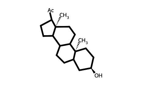 CC(=O)C1CCC2C3CCC4C[C@H](O)CC[C@]4(C)C3CC[C@]12C